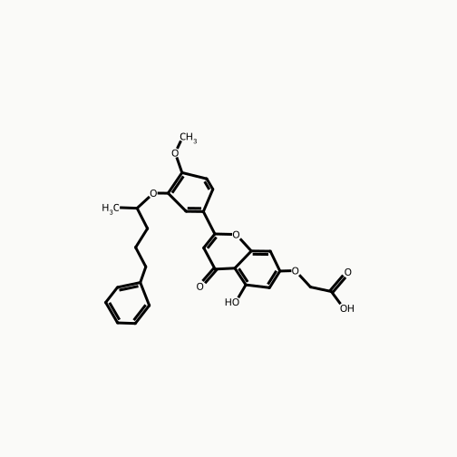 COc1ccc(-c2cc(=O)c3c(O)cc(OCC(=O)O)cc3o2)cc1OC(C)CCCc1ccccc1